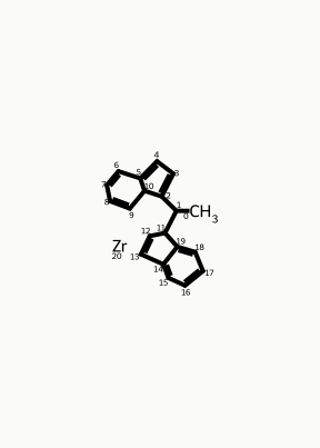 CC(C1=CC=C2C=CC=CC21)C1C=Cc2ccccc21.[Zr]